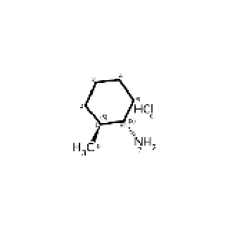 C[C@H]1CCCC[C@@H]1N.Cl